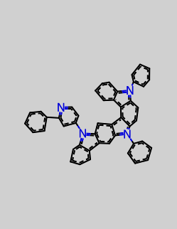 c1ccc(-c2cc(-n3c4ccccc4c4cc5c(cc43)c3c4c6ccccc6n(-c6ccccc6)c4ccc3n5-c3ccccc3)ccn2)cc1